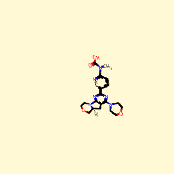 CN(C(=O)O)c1ccc(-c2nc(N3CCOCC3)c3c(n2)N2CCOC[C@@H]2C3)cn1